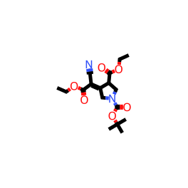 CCOC(=O)/C(C#N)=C1\CN(C(=O)OC(C)(C)C)CC1C(=O)OCC